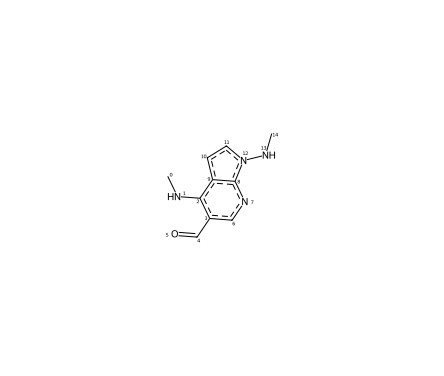 CNc1c(C=O)cnc2c1ccn2NC